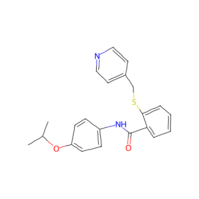 CC(C)Oc1ccc(NC(=O)c2ccccc2SCc2ccncc2)cc1